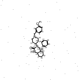 COc1cccc(CN2CCC(N3C(=O)NC4CCCC[C@@H]4[C@H]3c3ccccc3)CC2)c1